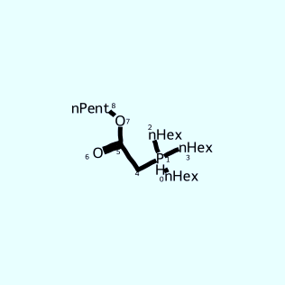 CCCCCC[PH](CCCCCC)(CCCCCC)CC(=O)OCCCCC